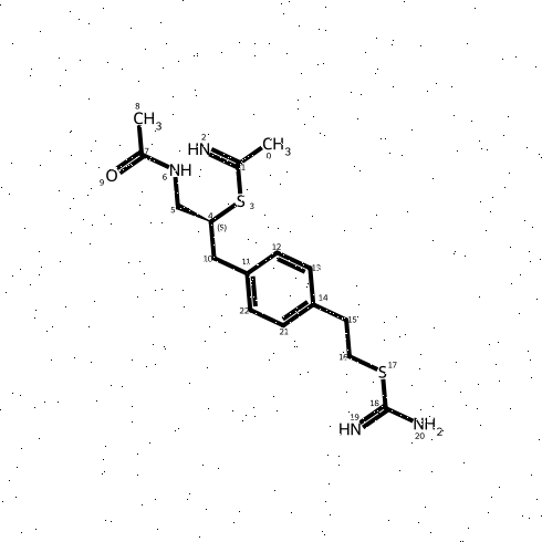 CC(=N)S[C@H](CNC(C)=O)Cc1ccc(CCSC(=N)N)cc1